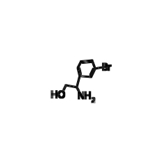 NC(CO)c1cccc(Br)c1